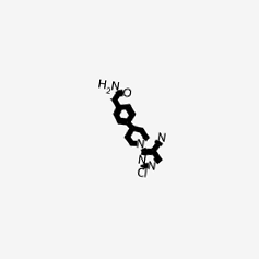 N#Cc1cnc(Cl)nc1N1CCC(c2ccc([CH]C(N)=O)cc2)CC1